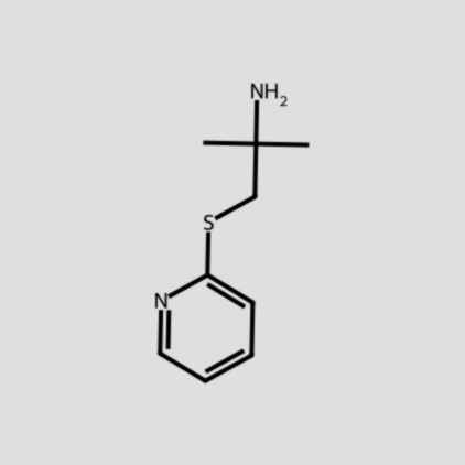 CC(C)(N)CSc1ccccn1